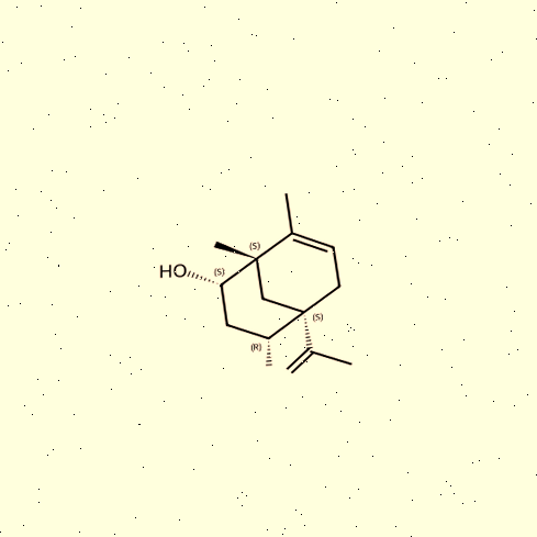 C=C(C)[C@@]12CC=C(C)[C@](C)(C1)[C@@H](O)C[C@H]2C